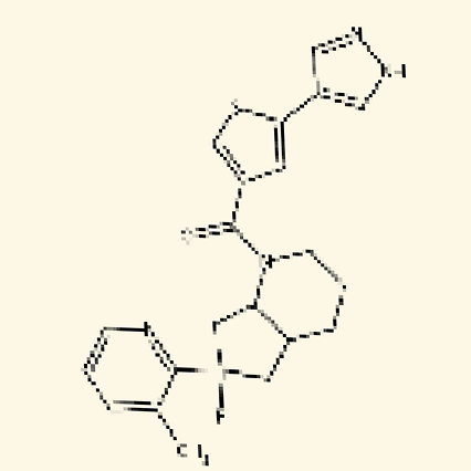 Cc1cccnc1C1(F)CC2CCCN(C(=O)c3csc(-c4cn[nH]c4)c3)C2C1